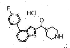 Cl.O=C(c1cc2c(-c3ccc(F)cc3)cccc2s1)N1CCNCC1